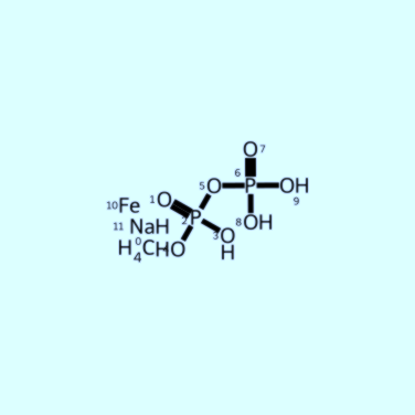 C.O=P(O)(O)OP(=O)(O)O.[Fe].[NaH]